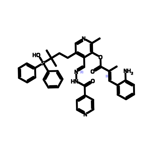 C/C(=C\c1ccccc1N)C(=O)Oc1c(C)ncc(CCC(C)(C)[Si](O)(c2ccccc2)c2ccccc2)c1/C=N/NC(=O)c1ccncc1